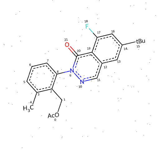 CC(=O)OCc1c(C)cccc1-n1ncc2cc(C(C)(C)C)cc(F)c2c1=O